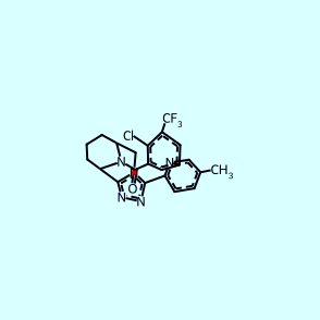 Cc1ccc(-c2nnc3n2CC2CCCC3N2C(=O)c2cccc(C(F)(F)F)c2Cl)nc1